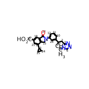 C[C@H](Cc1nncn1C)c1cccc(N2Cc3c(cc(C(=O)O)cc3C3CC3)C2=O)c1